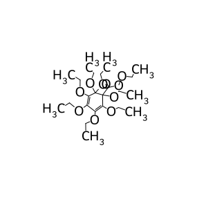 CCOOC(=O)C1(OCC)C(OCC)=C(OCC)C(OCC)=C(OCC)C1(OCC)OCC